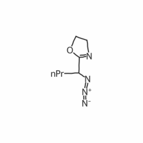 CCCC(N=[N+]=[N-])C1=NCCO1